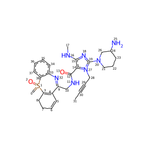 C=S1(=O)C2=C(C=CCC2)C(CNC(=O)c2c(NC)nc(N3CCCC(N)C3)n2CC#CC)=Nc2ccccc21